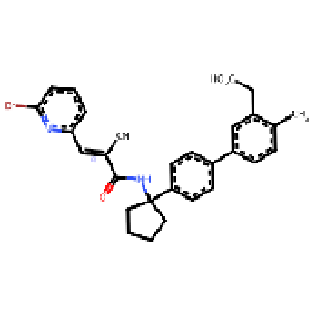 Cc1ccc(-c2ccc(C3(NC(=O)/C(C#N)=C/c4cccc(Br)n4)CCCC3)cc2)cc1CC(=O)O